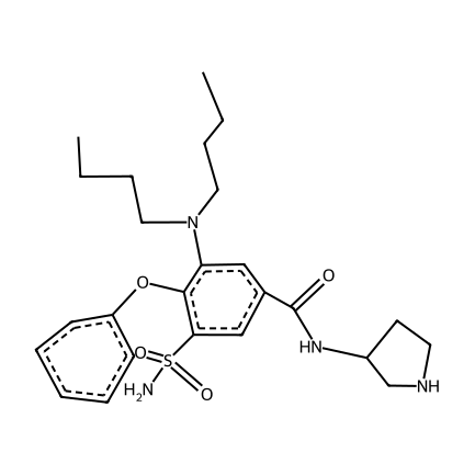 CCCCN(CCCC)c1cc(C(=O)NC2CCNC2)cc(S(N)(=O)=O)c1Oc1ccccc1